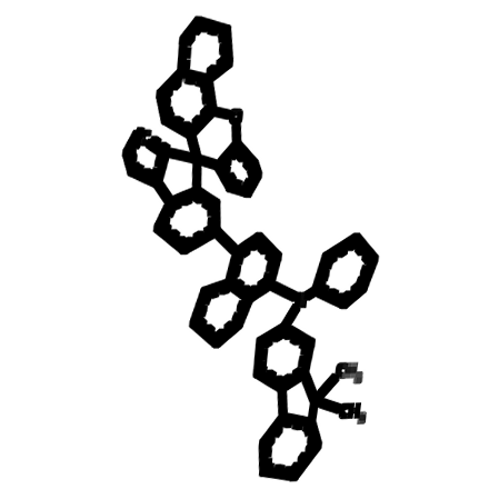 CC1(C)c2ccccc2-c2ccc(N(c3ccccc3)c3ccc(-c4ccc5c(c4)C4(c6ccccc6Oc6c4ccc4ccccc64)c4ccccc4-5)c4ccccc34)cc21